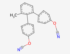 Cc1cccc(-c2ccc(OC#N)cc2)c1-c1ccc(OC#N)cc1